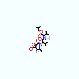 CC[C@H](C)C1C(=O)OC1C(=O)NC(C(=O)NC(C(=O)OCC(C)C)C(C)C)C(C)C